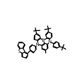 Cc1cc2c3c(c1)N(c1ccc(C(C)(C)C)cc1)c1ccc(C(C)(C)C)cc1B3c1cc(C(C)(C)C)ccc1N2c1ccc(-c2cccc3sc4ccccc4c23)cc1